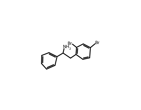 NC(Cc1ccc(Br)cc1Br)c1ccccc1